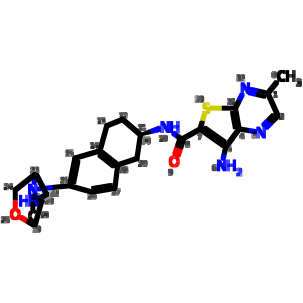 Cc1cnc2c(N)c(C(=O)N[C@@H]3CCc4cc(N5CC6CNCC5CO6)ccc4C3)sc2n1